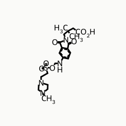 CN1CCN(CCS(=O)(=O)OCNc2ccc3c(c2)C(=O)N(CC(C)(C)CC(=O)O)C3=O)CC1